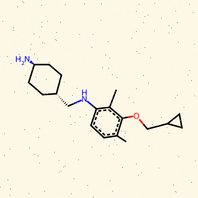 Cc1ccc(NC[C@H]2CC[C@H](N)CC2)c(C)c1OCC1CC1